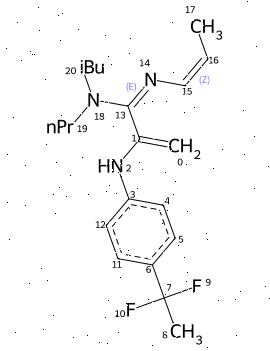 C=C(Nc1ccc(C(C)(F)F)cc1)/C(=N\C=C/C)N(CCC)C(C)CC